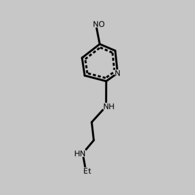 CCNCCNc1ccc(N=O)cn1